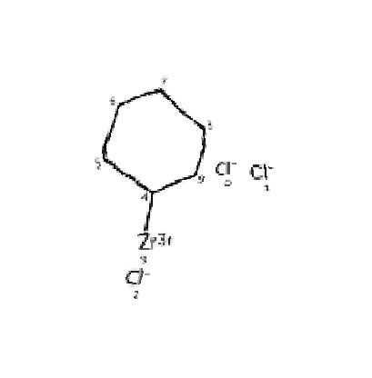 [Cl-].[Cl-].[Cl-].[Zr+3][CH]1CCCCC1